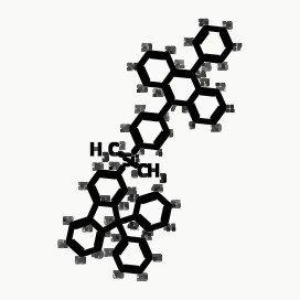 C[Si](C)(c1ccc(-c2c3ccccc3c(-c3ccccc3)c3ccccc23)cc1)c1ccc2c(c1)C(c1ccccc1)(c1ccccc1)c1ccccc1-2